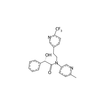 Cc1ccc(N(CCc2ccc(C(F)(F)F)nc2)C(=O)[C@@H](O)c2ccccc2)cn1